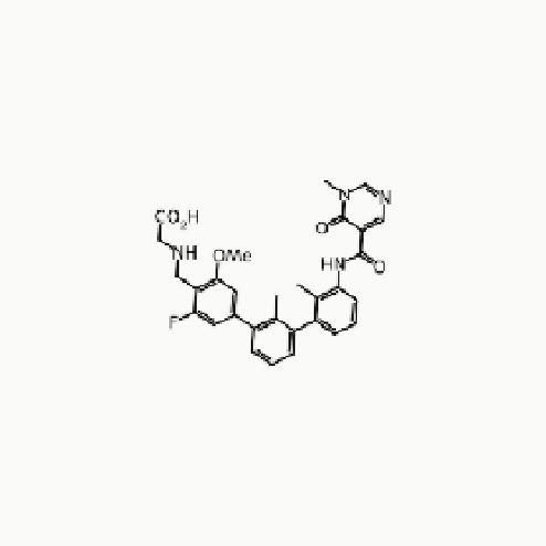 COc1cc(-c2cccc(-c3cccc(NC(=O)c4cncn(C)c4=O)c3C)c2C)cc(F)c1CNCC(=O)O